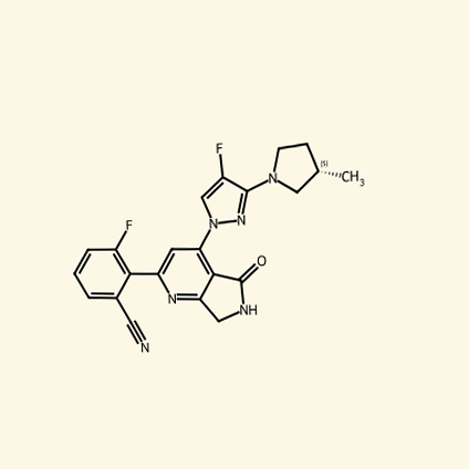 C[C@H]1CCN(c2nn(-c3cc(-c4c(F)cccc4C#N)nc4c3C(=O)NC4)cc2F)C1